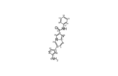 Nc1nc(-c2ccc3nc(C(=O)Nc4ccccc4)cn3c2)cs1